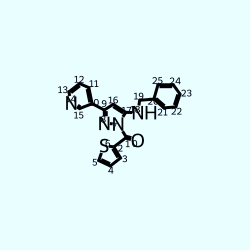 O=C(c1cccs1)n1nc(-c2cccnc2)cc1NCc1ccccc1